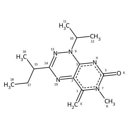 C=c1c2c(nc(=O)n1C)N(C(C)C)N=C(C(C)CC)N=2